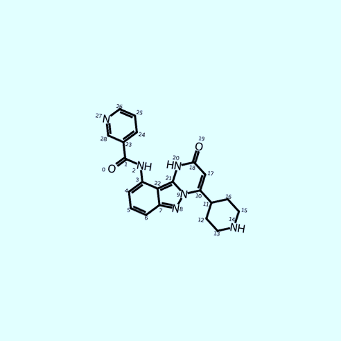 O=C(Nc1cccc2nn3c(C4CCNCC4)cc(=O)[nH]c3c12)c1cccnc1